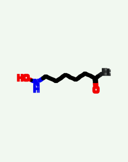 CCC(=O)CCCCCNO